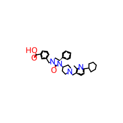 Cc1nc(C2CCCCC2)ccc1CN1CCC(N2C(=O)N(Cc3cccc(C(=O)O)c3)C[C@H]2c2ccccc2)CC1